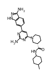 CC1CCC(NC(=O)[C@H]2CCCN(c3cc(-c4ccc5c(N)n[nH]c5c4)nc(N)n3)C2)CC1